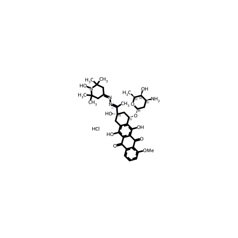 COc1cccc2c1C(=O)c1c(O)c3c(c(O)c1C2=O)C[C@@](O)(/C(C)=N/N=C1CC(C)(C)N(O)C(C)(C)C1)C[C@@H]3O[C@H]1C[C@H](N)[C@H](O)[C@H](C)O1.Cl